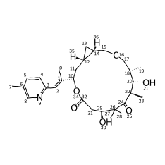 C/C(=C\c1ccc(C)cn1)[C@@H]1C[C@@H]2C[C@@H]2CCC[C@H](C)[C@H](O)[C@@H](C)C(=O)C(C)(C)[C@@H](O)CC(=O)O1